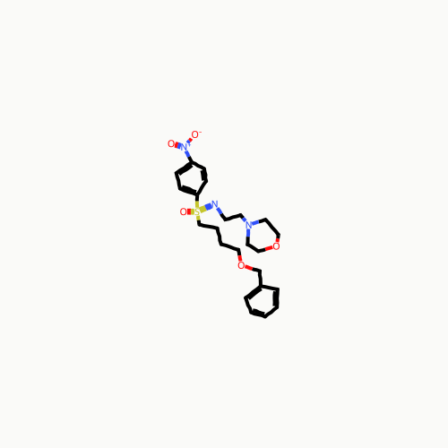 O=[N+]([O-])c1ccc(S(=O)(CCCCOCc2ccccc2)=NCCN2CCOCC2)cc1